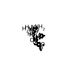 CCOc1cc2c(cc1OC)-c1c/c(=N\c3c(C)cc(C)cc3C)n(CCNC(=O)/C(NN)=C(/N)C(N)=O)c(=O)n1CC2